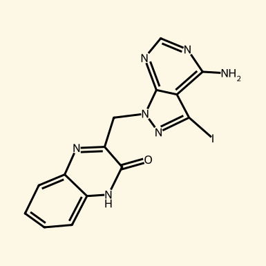 Nc1ncnc2c1c(I)nn2Cc1nc2ccccc2[nH]c1=O